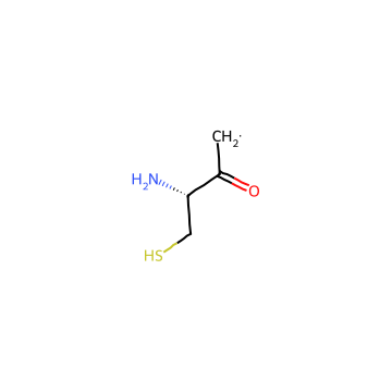 [CH2]C(=O)[C@@H](N)CS